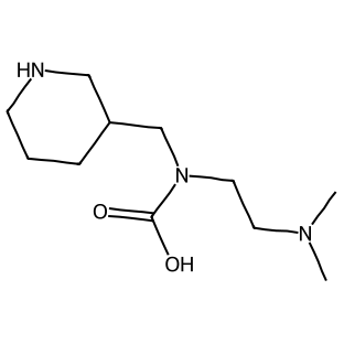 CN(C)CCN(CC1CCCNC1)C(=O)O